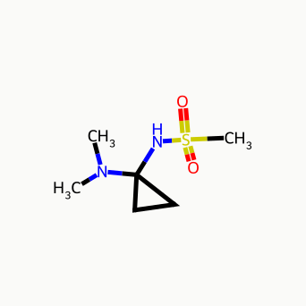 CN(C)C1(NS(C)(=O)=O)CC1